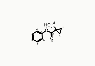 O=C(O)C1(C(=O)Oc2ccccc2)CC1